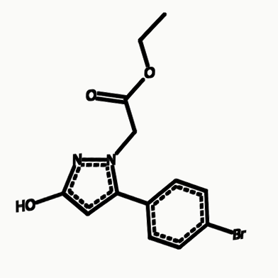 CCOC(=O)Cn1nc(O)cc1-c1ccc(Br)cc1